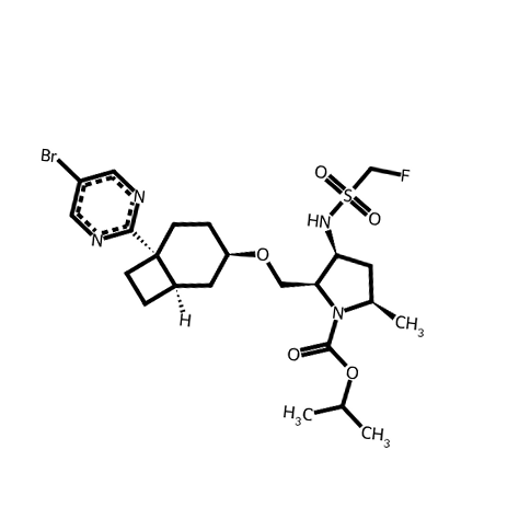 CC(C)OC(=O)N1[C@H](C)C[C@H](NS(=O)(=O)CF)[C@@H]1CO[C@@H]1CC[C@]2(c3ncc(Br)cn3)CC[C@@H]2C1